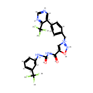 O=C(NC(=O)c1c[n+](Cc2ccc(-c3cncnc3C(F)(F)F)cc2)no1)Nc1cccc(C(F)(F)F)c1